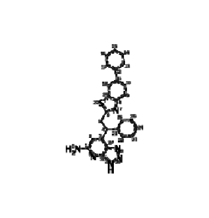 Nc1cc(C(Cc2nc3ccc(-c4ccccc4)cc3s2)c2ccccc2)c2nn[nH]c2n1